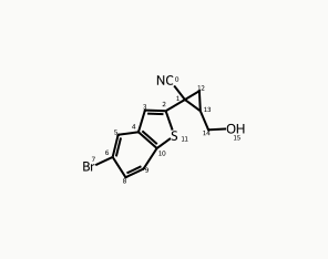 N#CC1(c2cc3cc(Br)ccc3s2)CC1CO